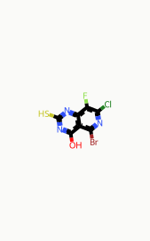 Oc1nc(S)nc2c(F)c(Cl)nc(Br)c12